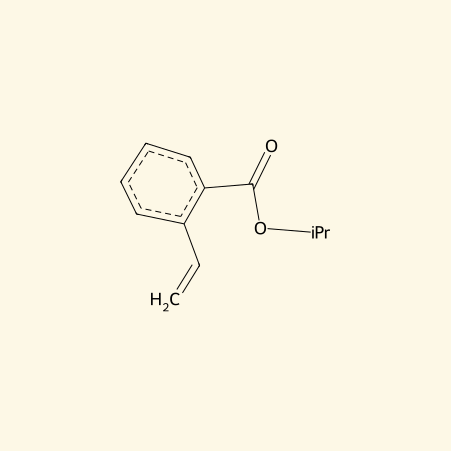 C=Cc1ccccc1C(=O)OC(C)C